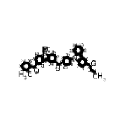 CC=CC(=O)c1ccc2c(c1)c1ccccc1n2-c1ccc(C(=O)c2ccc3c(c2)c2cc(C(=O)c4ccccc4C)ccc2n3CC)cc1